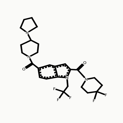 O=C(c1ccc2c(c1)cc(C(=O)N1CCC(F)(F)CC1)n2CC(F)(F)F)N1CCC(N2CCCC2)CC1